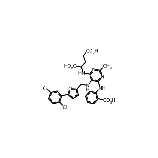 Cc1nc(Nc2ccccc2C(=O)O)c(NCc2ccc(-c3cc(Cl)ccc3Cl)o2)c(NC(CCC(=O)O)C(=O)O)n1